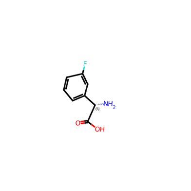 N[C@H](C(=O)O)c1cccc(F)c1